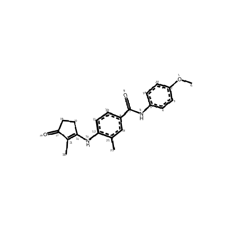 COc1ccc(NC(=O)c2ccc(NC3=C(C)C(=O)CC3)c(C)c2)cc1